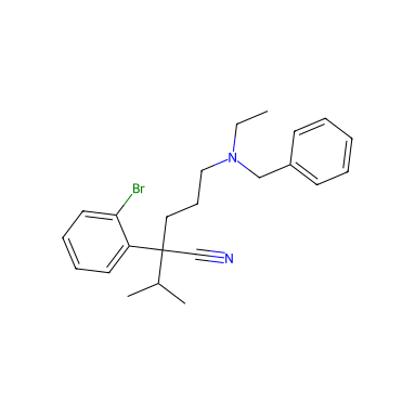 CCN(CCCC(C#N)(c1ccccc1Br)C(C)C)Cc1ccccc1